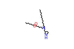 CCCCCCCCCCCCCCN(CCCCCC(=O)OCCCCCCC)CCC1CCCNC1